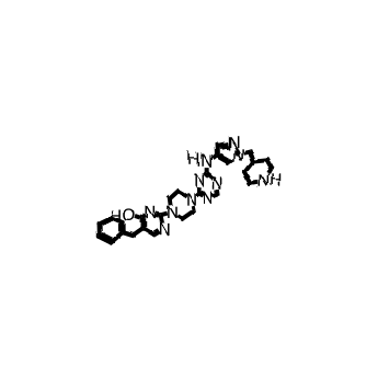 Oc1nc(N2CCN(c3ncnc(Nc4cnn(CC5CCNCC5)c4)n3)CC2)ncc1Cc1ccccc1